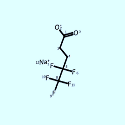 O=C([O-])CCC(F)(F)C(F)(F)F.[Na+]